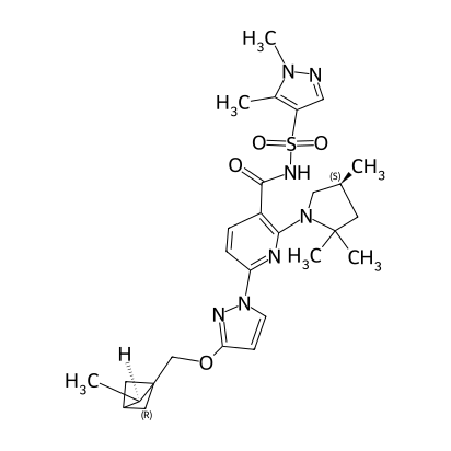 Cc1c(S(=O)(=O)NC(=O)c2ccc(-n3ccc(OCC45CC(C4)[C@H]5C)n3)nc2N2C[C@@H](C)CC2(C)C)cnn1C